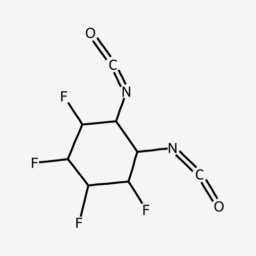 O=C=NC1C(F)C(F)C(F)C(F)C1N=C=O